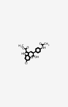 COC(=O)c1[nH]c2cc(Cl)cc(Cl)c2c1C=C(C(=O)O)c1ccc(NC(C)=O)cc1